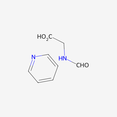 O=CNCC(=O)O.c1ccncc1